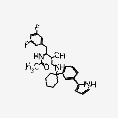 CC(=O)NC(Cc1cc(F)cc(F)c1)C(O)CNC1(c2cccc(-c3ccc[nH]3)c2)CCCCC1